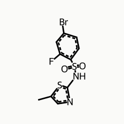 Cc1cnc(NS(=O)(=O)c2ccc(Br)cc2F)s1